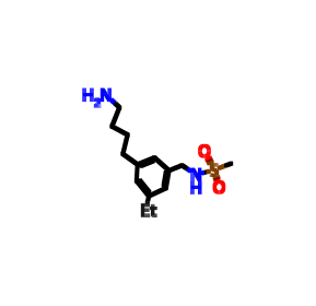 CCc1cc(CCCCN)cc(CNS(C)(=O)=O)c1